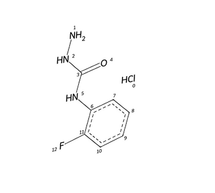 Cl.NNC(=O)Nc1ccccc1F